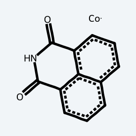 O=C1NC(=O)c2cccc3cccc1c23.[Co]